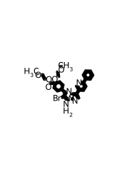 COCCOC(=O)C1(OCCOC)CCC(c2nc3c(-c4ccc(-c5ccccc5)nc4)cnn3c(N)c2Br)CC1